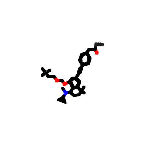 COC(=O)Cc1ccc(C#Cc2cc(OCOCC[Si](C)(C)C)c3c(c2)C(C)(C)CCC3N(C)C2CC2)cc1